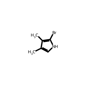 Cc1c[nH]c(Br)c1C